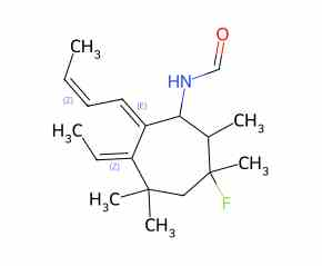 C\C=C/C=C1\C(=C/C)C(C)(C)CC(C)(F)C(C)C1NC=O